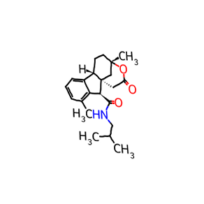 Cc1cccc2c1[C@H](C(=O)NCC(C)C)[C@@]13CC(=O)O[C@@](C)(CC[C@@H]21)C3